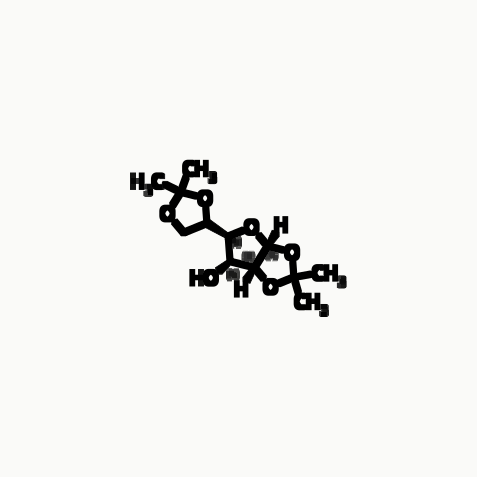 CC1(C)OCC([C@H]2O[C@@H]3OC(C)(C)O[C@@H]3[C@H]2O)O1